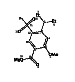 CCC(CC)c1cc(OC)c(C(=O)OC)cc1S(C)(=O)=O